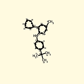 Cc1cnc(Nc2ccc(C(C)(C)C)cc2)c(-c2ccccc2)c1